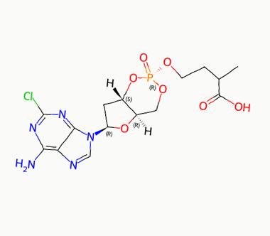 CC(CCO[P@]1(=O)OC[C@H]2O[C@@H](n3cnc4c(N)nc(Cl)nc43)C[C@@H]2O1)C(=O)O